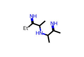 CCC(=N)C(C)NC(C)C(C)=N